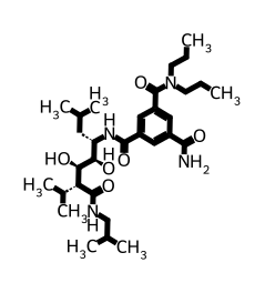 CCCN(CCC)C(=O)c1cc(C(N)=O)cc(C(=O)N[C@@H](CC(C)C)[C@@H](O)[C@H](O)[C@H](C(=O)NCC(C)C)C(C)C)c1